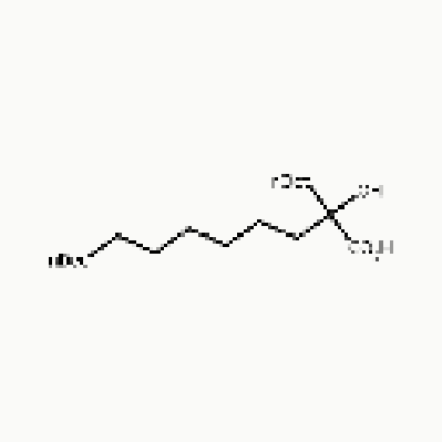 CCCCCCCCCCCCCCCCC(O)(CCCCCCCC)C(=O)O